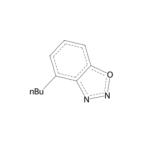 CCCCc1cccc2onnc12